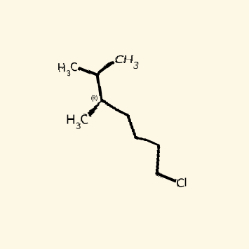 CC(C)[C@H](C)CCCCCl